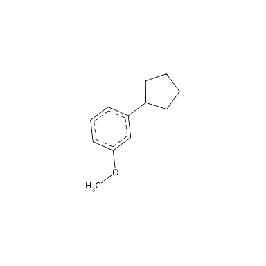 COc1cccc(C2CCCC2)c1